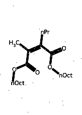 CCCCCCCCOC(=O)/C(C)=C(/CCC)C(=O)OCCCCCCCC